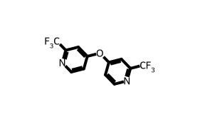 FC(F)(F)c1cc(Oc2ccnc(C(F)(F)F)c2)ccn1